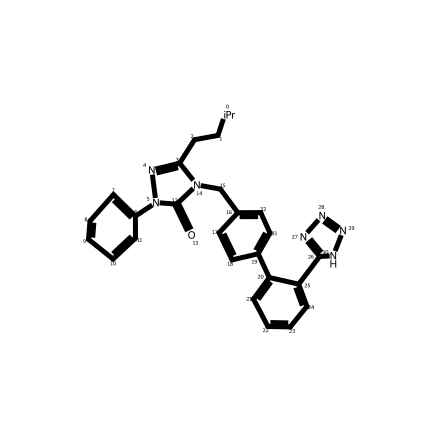 CC(C)CCc1nn(-c2ccccc2)c(=O)n1Cc1ccc(-c2ccccc2-c2nnn[nH]2)cc1